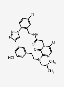 CN(C)CN(CCc1ccccc1)c1ncc(Cl)n(CC(=O)NCc2cc(Cl)ccc2-n2cnnn2)c1=O.Cl